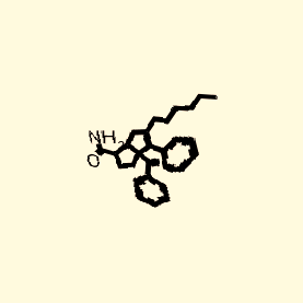 C=C(c1ccccc1)C12CCC(C(N)=O)C1CC(CCCCCC)=C2c1ccccc1